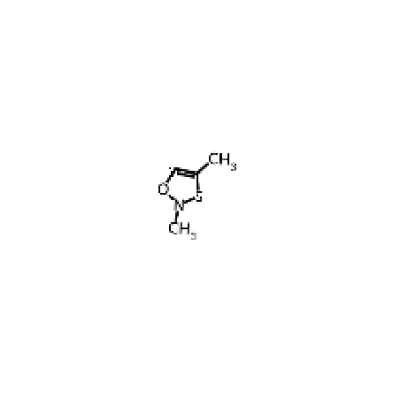 CC1=[C]ON(C)S1